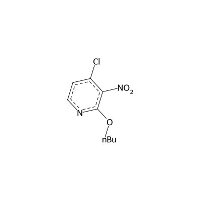 CCCCOc1nccc(Cl)c1[N+](=O)[O-]